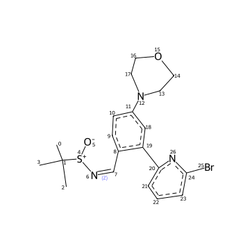 CC(C)(C)[S+]([O-])/N=C\c1ccc(N2CCOCC2)cc1-c1cccc(Br)n1